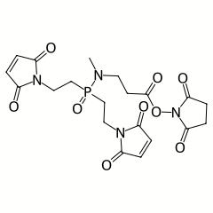 CN(CCC(=O)ON1C(=O)CCC1=O)P(=O)(CCN1C(=O)C=CC1=O)CCN1C(=O)C=CC1=O